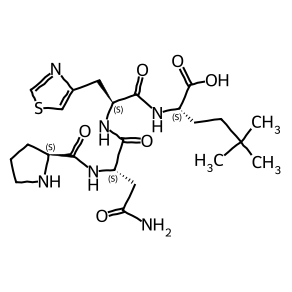 CC(C)(C)CC[C@H](NC(=O)[C@H](Cc1cscn1)NC(=O)[C@H](CC(N)=O)NC(=O)[C@@H]1CCCN1)C(=O)O